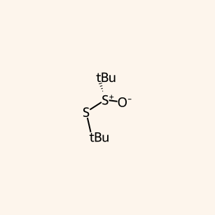 CC(C)(C)S[S@@+]([O-])C(C)(C)C